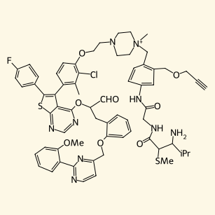 C#CCOCc1cc(NC(=O)CNC(=O)C(SC)C(N)C(C)C)ccc1C[N+]1(C)CCN(CCOc2ccc(-c3c(-c4ccc(F)cc4)sc4ncnc(OC(C=O)Cc5ccccc5OCc5ccnc(-c6ccccc6OC)n5)c34)c(C)c2Cl)CC1